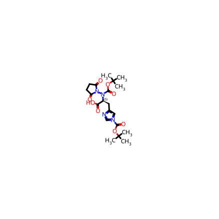 CC(C)(C)OC(=O)N([C@@H](Cc1cn(C(=O)OC(C)(C)C)cn1)C(=O)O)N1C(=O)CCC1=O